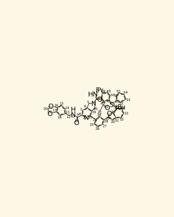 CC(C)NC(=O)N1Cc2cc(C(=O)NCc3ccc4c(c3)OCO4)nc(-c3cccc(-c4cc5ccccc5o4)c3)c2[C@H]1CCO[Si](c1ccccc1)(c1ccccc1)C(C)(C)C